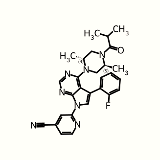 CC(C)C(=O)N1C[C@@H](C)N(c2ncnc3c2c(-c2ccccc2F)cn3-c2cc(C#N)ccn2)C[C@@H]1C